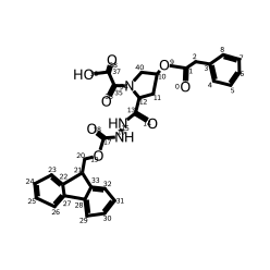 O=C(Cc1ccccc1)OC1CC(C(=O)NNC(=O)OCC2c3ccccc3-c3ccccc32)N(C(=O)C(=O)O)C1